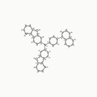 c1ccc2c(-c3ccc(N(c4ccc5c(c4)oc4cccnc45)c4ccc5c(c4)oc4cccnc45)cc3)cccc2c1